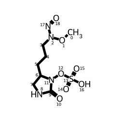 CON(CCCC1CNC(=O)N1OS(=O)(=O)O)N=O